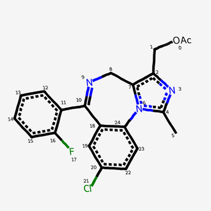 CC(=O)OCc1nc(C)n2c1CN=C(c1ccccc1F)c1cc(Cl)ccc1-2